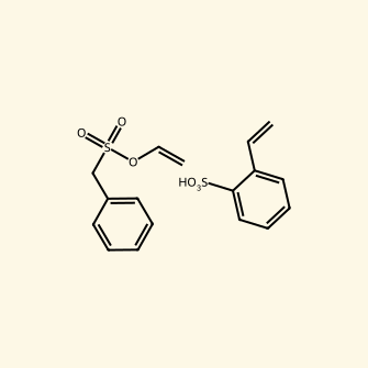 C=COS(=O)(=O)Cc1ccccc1.C=Cc1ccccc1S(=O)(=O)O